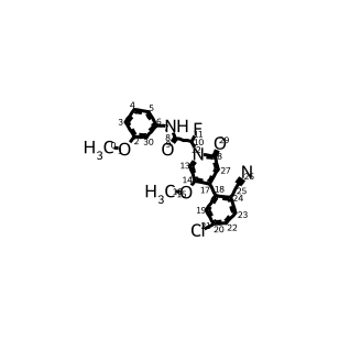 COc1cccc(NC(=O)C(F)n2cc(OC)c(-c3cc(Cl)ccc3C#N)cc2=O)c1